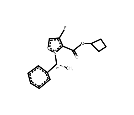 C[C@H](c1ccccc1)n1ncc(F)c1C(=O)OC1CCC1